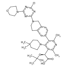 Cc1nc(C)c([C@H](OC(C)(C)C)C(=O)O)c(N2CCC(C)(C)CC2)c1-c1ccc2c(c1)CCN(c1nc(Cl)nc(N3CCOCC3)n1)C2